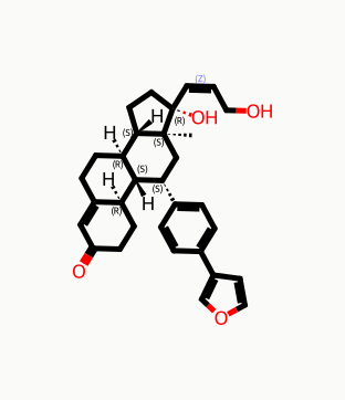 C[C@]12C[C@H](c3ccc(-c4ccoc4)cc3)[C@H]3[C@@H](CCC4=CC(=O)CC[C@@H]43)[C@@H]1CC[C@@]2(O)/C=C\CO